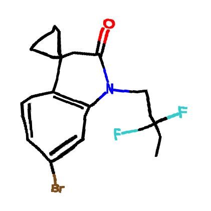 CC(F)(F)CN1C(=O)C2(CC2)c2ccc(Br)cc21